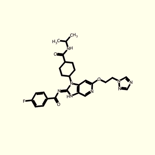 CC(C)NC(=O)C1CCC(n2/c(=N/C(=O)c3ccc(F)cc3)[nH]c3cnc(OCCn4cncn4)cc32)CC1